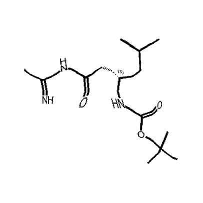 CC(=N)NC(=O)C[C@H](CC(C)C)NC(=O)OC(C)(C)C